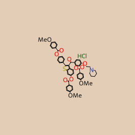 COc1ccc(C(=O)Oc2ccc(-c3sc4cc(OC(=O)c5ccc(OC)cc5)cc(OC(=O)c5ccc(OC)cc5)c4c3C(=O)c3ccc(OCCN4CCCCC4)cc3)cc2)cc1.Cl